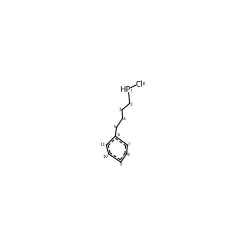 ClPCCCCc1ccccc1